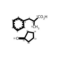 CC(Cc1ccccc1)C(=O)O.O=C1CCCC1